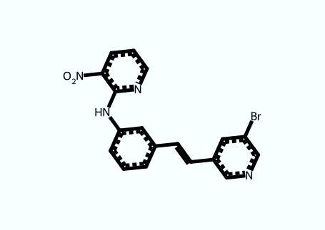 O=[N+]([O-])c1cccnc1Nc1cccc(/C=C/c2cncc(Br)c2)c1